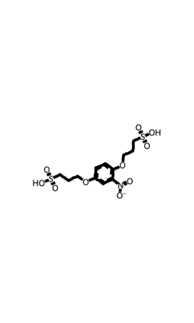 O=[N+]([O-])c1cc(OCCCS(=O)(=O)O)ccc1OCCCS(=O)(=O)O